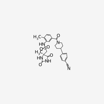 Cc1ccc(C(=O)N2CCC(c3ccc(C#N)cc3)CC2)cc1NS(=O)(=O)C[C@]1(C)NC(=O)NC1=O